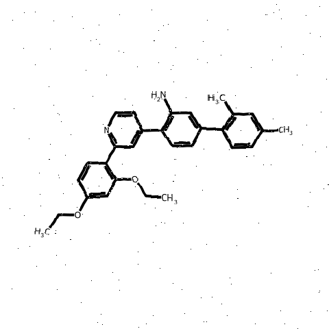 CCOc1ccc(-c2cc(-c3ccc(-c4ccc(C)cc4C)cc3N)ccn2)c(OCC)c1